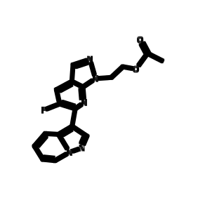 CC(=O)OCCn1ncc2cc(F)c(-c3cnn4ccccc34)nc21